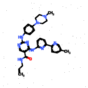 C=CCNC(=O)c1cnc(Nc2ccc(N3CCN(C)CC3)cc2)nc1Nc1cccc(-c2ccc(C)cn2)n1